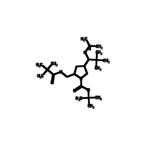 C[SiH](C)OC(C1CC(COC(=O)C(C)(C)C)N(C(=O)OC(C)(C)C)C1)C(C)(C)C